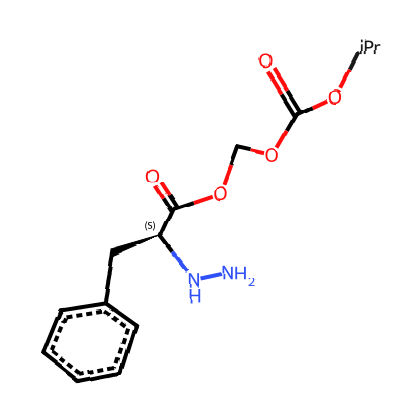 CC(C)OC(=O)OCOC(=O)[C@H](Cc1ccccc1)NN